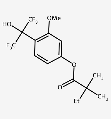 CCC(C)(C)C(=O)Oc1ccc(C(O)(C(F)(F)F)C(F)(F)F)c(OC)c1